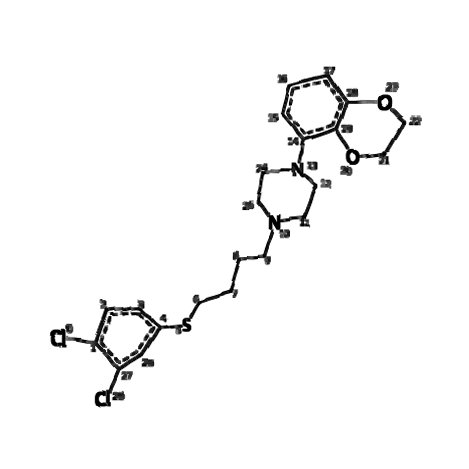 Clc1ccc(SCCCCN2CCN(c3cccc4c3OCCO4)CC2)cc1Cl